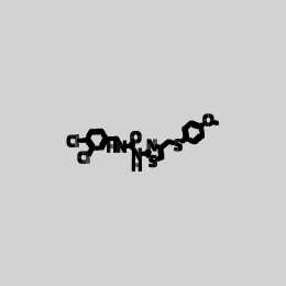 COc1ccc(SCc2csc(NC(=O)NCc3ccc(Cl)c(Cl)c3)n2)cc1